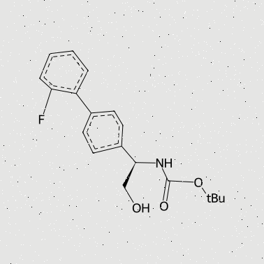 CC(C)(C)OC(=O)N[C@@H](CO)c1ccc(-c2ccccc2F)cc1